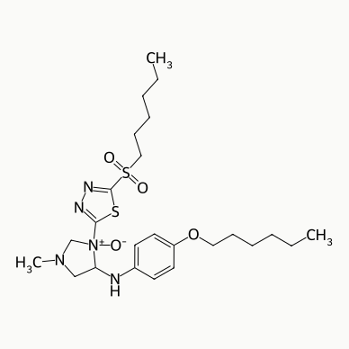 CCCCCCOc1ccc(NC2CN(C)C[N+]2([O-])c2nnc(S(=O)(=O)CCCCCC)s2)cc1